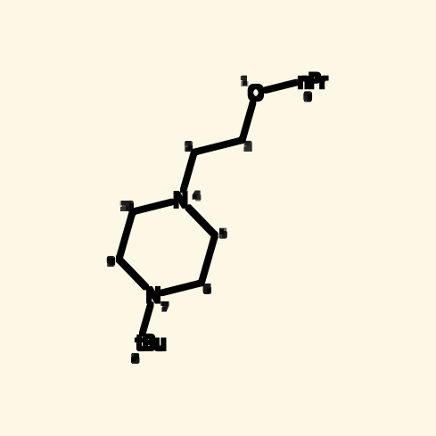 CCCOCCN1CCN(C(C)(C)C)CC1